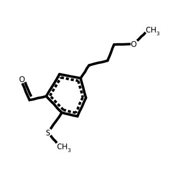 COCCCc1ccc(SC)c(C=O)c1